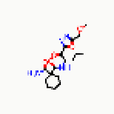 CCC[C@H](NC(=O)C1(C(N)=O)CCCCC1)C(=O)c1nnc(COC)o1